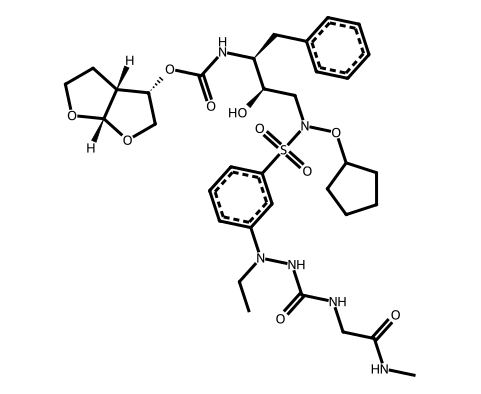 CCN(NC(=O)NCC(=O)NC)c1cccc(S(=O)(=O)N(C[C@@H](O)[C@H](Cc2ccccc2)NC(=O)O[C@@H]2CO[C@@H]3OCC[C@@H]32)OC2CCCC2)c1